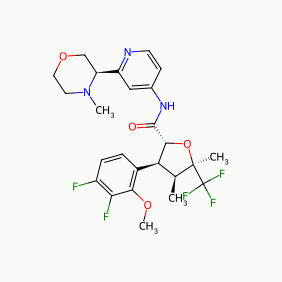 COc1c([C@H]2[C@H](C(=O)Nc3ccnc([C@@H]4COCCN4C)c3)O[C@@](C)(C(F)(F)F)[C@H]2C)ccc(F)c1F